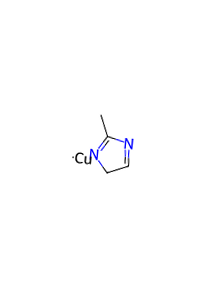 CC1=NCC=N1.[Cu]